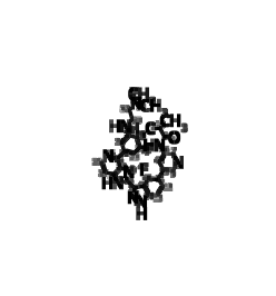 CC(C)C(=O)Nc1cncc(-c2ccc3[nH]nc(-c4nc5c(-c6cc(F)cc(NCCN(C)C)c6)nccc5[nH]4)c3c2F)c1